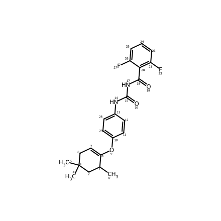 CC1CC(C)(C)CC=C1Oc1ccc(NC(=O)NC(=O)c2c(F)cccc2F)cc1